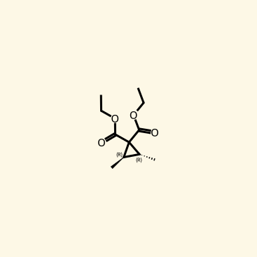 CCOC(=O)C1(C(=O)OCC)[C@H](C)[C@H]1C